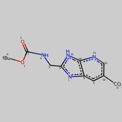 CC(C)(C)OC(=O)NCc1nc2cc(C(=O)O)cnc2[nH]1